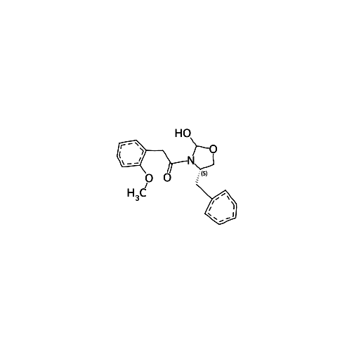 COc1ccccc1CC(=O)N1C(O)OC[C@@H]1Cc1ccccc1